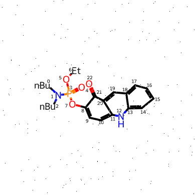 CCCCN(CCCC)P(=O)(OCC)Oc1ccc2[nH]c3ccccc3cc-2c1=O